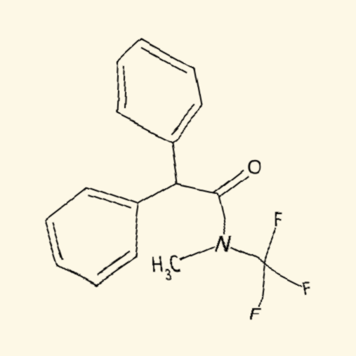 CN(C(=O)C(c1ccccc1)c1ccccc1)C(F)(F)F